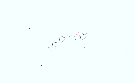 C=Cc1cc(-c2ccc(CCNC[C@H](O)c3cccc(Cl)c3)cc2)ccc1C(=O)O.Cl